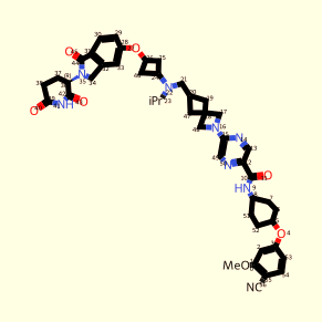 COc1cc(OC2CCC(NC(=O)c3cnc(N4CC5(CC(CN(C(C)C)C6CC(Oc7ccc8c(c7)CN([C@@H]7CCC(=O)NC7=O)C8=O)C6)C5)C4)cn3)CC2)ccc1C#N